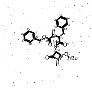 CCCCO[C@@H]1NC(=O)[C@H]1NC(=O)[C@H](Cc1ccccc1)NC(=O)OCc1ccccc1